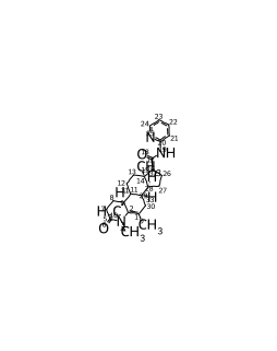 CC1=C2N(C)C(=O)CC[C@]2(C)[C@H]2CC[C@]3(C)[C@@H](C(=O)Nc4ccccn4)CC[C@H]3[C@@H]2C1